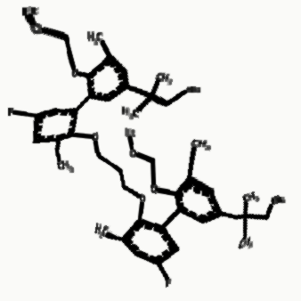 CCOCOc1c(C)cc(C(C)(C)CC(C)(C)C)cc1-c1cc(F)cc(C)c1OCCCOc1c(C)cc(F)cc1-c1cc(C(C)(C)CC(C)(C)C)cc(C)c1OCOCC